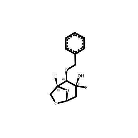 O[C@@]1(F)CC2OC[C@@H](O2)[C@H]1OCc1ccccc1